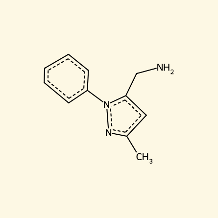 Cc1cc(CN)n(-c2ccccc2)n1